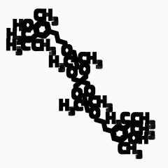 Cc1cc(CCCOCC(C)(C)C2OCC3(CO2)COC(C(C)(C)COCCCc2cc(C)c(O)c(C(C)(C)C)c2)OC3)cc(C(C)(C)C)c1O